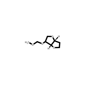 COCOC1CO[C@@H]2CCO[C@H]12